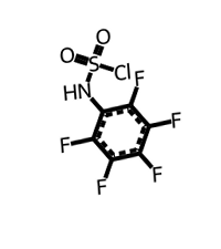 O=S(=O)(Cl)Nc1c(F)c(F)c(F)c(F)c1F